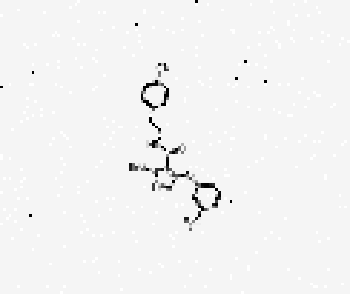 CC(C)(C)n1ncc(Oc2cccc(C(F)(F)F)c2)c1C(=O)NCCc1ccc(C#N)cc1